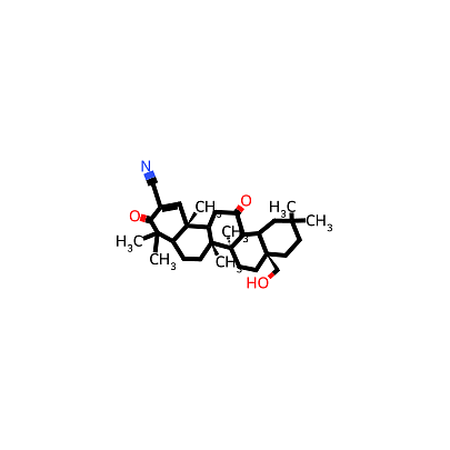 CC1(C)CC[C@]2(CO)CC[C@]3(C)C(C(=O)CC4[C@@]5(C)C=C(C#N)C(=O)C(C)(C)C5CC[C@]43C)C2C1